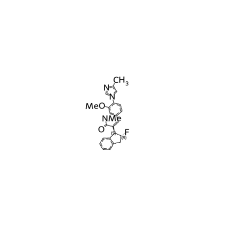 CNC(=O)C(=Cc1ccc(-n2cnc(C)c2)c(OC)c1)[C@@H]1c2ccccc2C[C@H]1F